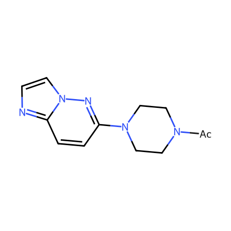 CC(=O)N1CCN(c2ccc3nccn3n2)CC1